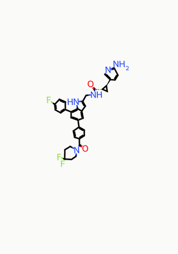 Nc1ccc([C@H]2C[C@@H]2C(=O)NCc2cc3cc(-c4ccc(C(=O)N5CCC(F)(F)CC5)cc4)cc(-c4ccc(F)cc4)c3[nH]2)cn1